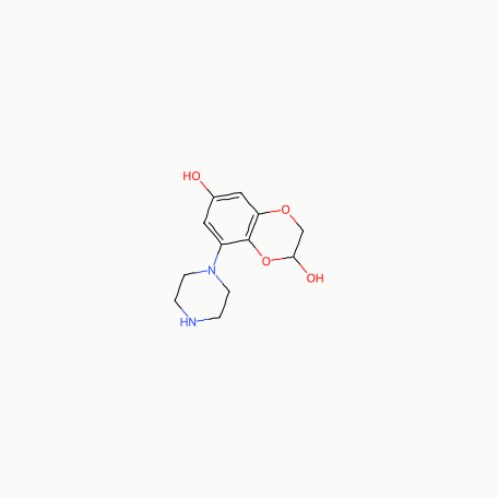 Oc1cc2c(c(N3CCNCC3)c1)OC(O)CO2